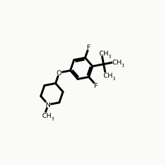 CN1CCC(Oc2cc(F)c(C(C)(C)C)c(F)c2)CC1